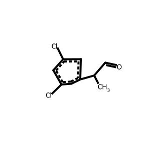 CC(C=O)c1cc(Cl)cc(Cl)c1